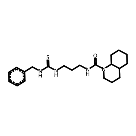 O=C(NCCCNC(=S)NCc1ccccc1)N1CCCC2CCCCC21